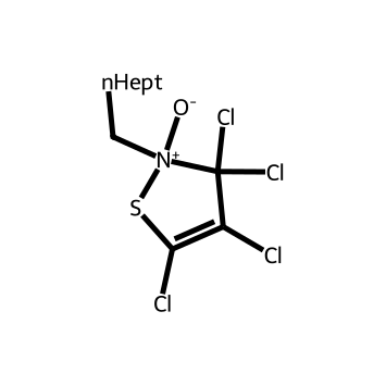 CCCCCCCC[N+]1([O-])SC(Cl)=C(Cl)C1(Cl)Cl